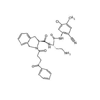 Cc1cc(C#N)c(NC(=O)[C@H](CCN)NC(=O)[C@@H]2Cc3ccccc3CN2C(=O)CCC(=O)c2ccccc2)cc1Cl